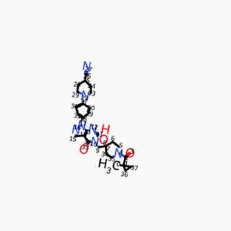 CC1(C(=O)N2CCC(O)(Cn3cnc4c(cnn4-c4ccc(N5CCC(C#N)CC5)cc4)c3=O)CC2)CC1